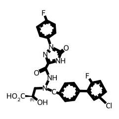 O=C(NN(Cc1ccc(-c2cc(Cl)ccc2F)cc1)C[C@@H](O)C(=O)O)c1nn(-c2ccc(F)cc2)c(=O)[nH]1